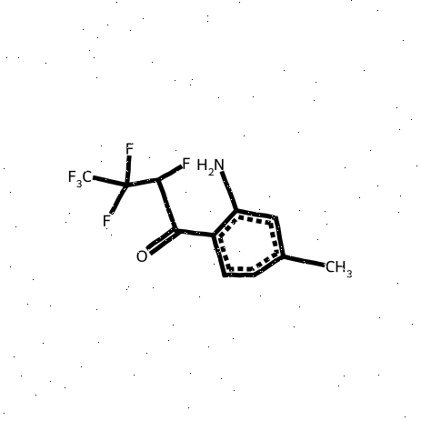 Cc1ccc(C(=O)C(F)C(F)(F)C(F)(F)F)c(N)c1